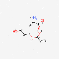 C=C(N)C(=O)O.C=CC(=O)OCCCO